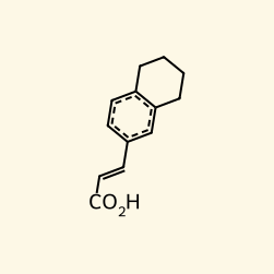 O=C(O)C=Cc1ccc2c(c1)CCCC2